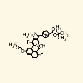 C#Cc1c(F)ccc2cc(OCOC)cc(-c3ncc4c(C5CC6CCC5CN6C(=O)OC(C)(C)C)nn(C)c4c3F)c12